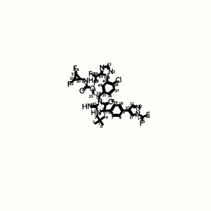 CC(C)(C)C[C@]1(c2ccc(-c3cnn(C(F)F)c3)cc2)NC(=N)N([C@H](COC(=O)NC2C(F)C2F)c2ccc(Cl)c(-n3ncnc3C(F)F)c2)C1=O